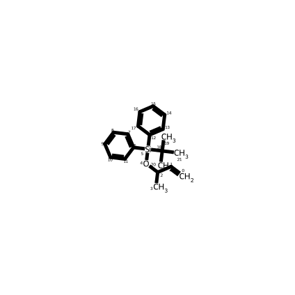 C=CC(C)O[Si](c1ccccc1)(c1ccccc1)C(C)(C)C